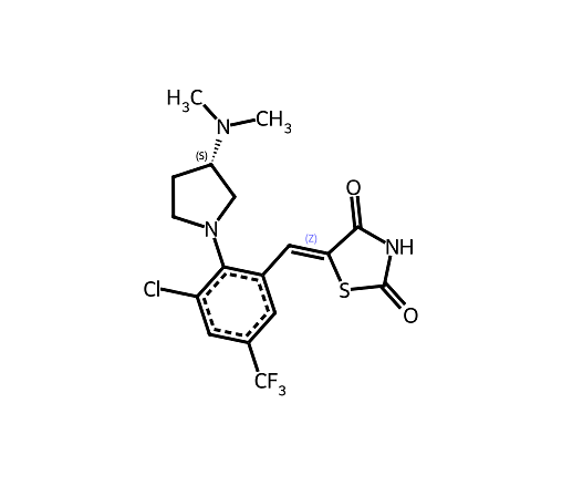 CN(C)[C@H]1CCN(c2c(Cl)cc(C(F)(F)F)cc2/C=C2\SC(=O)NC2=O)C1